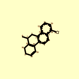 CC1Cc2c(ccc3c(Cl)cccc23)C2=C1CCC=C2